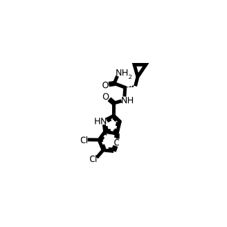 NC(=O)[C@H](CC1CC1)NC(=O)c1cc2ccc(Cl)c(Cl)c2[nH]1